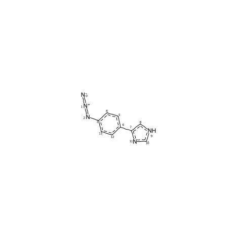 [N-]=[N+]=Nc1ccc(-c2c[nH][c]n2)cc1